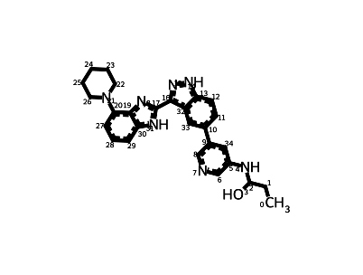 CCC(O)Nc1cncc(-c2ccc3[nH]nc(-c4nc5c(N6CCCCC6)cccc5[nH]4)c3c2)c1